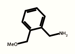 COCc1ccccc1CN